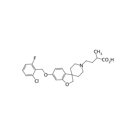 CC(CCN1CCC2(CC1)COc1cc(OCc3c(F)cccc3Cl)ccc12)C(=O)O